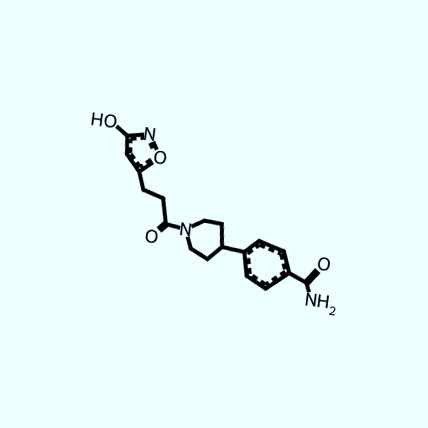 NC(=O)c1ccc(C2CCN(C(=O)CCc3cc(O)no3)CC2)cc1